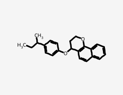 CCC(C)c1ccc(OC2CCOc3c2ccc2ccccc32)cc1